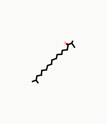 CC(C)CCCCCCCCCCCCC(=O)C(C)C